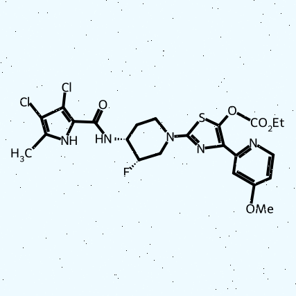 CCOC(=O)Oc1sc(N2CC[C@@H](NC(=O)c3[nH]c(C)c(Cl)c3Cl)[C@@H](F)C2)nc1-c1cc(OC)ccn1